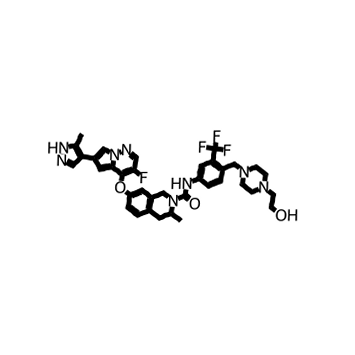 Cc1[nH]ncc1-c1cc2c(Oc3ccc4c(c3)CN(C(=O)Nc3ccc(CN5CCN(CCO)CC5)c(C(F)(F)F)c3)C(C)C4)c(F)cnn2c1